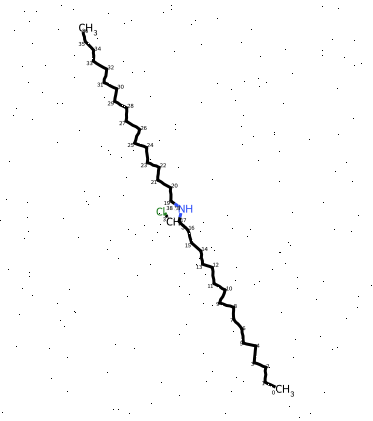 CCCCCCCCCCCCCCCCCCNCCCCCCCCCCCCCCCCCC.CCl